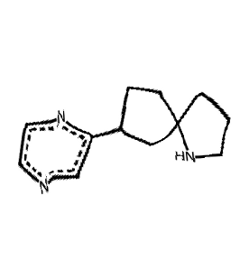 c1cnc(C2CCC3(CCCN3)C2)cn1